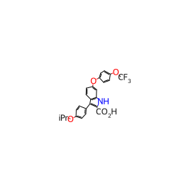 CC(C)Oc1ccc(-c2c(C(=O)O)[nH]c3cc(Oc4ccc(OC(F)(F)F)cc4)ccc23)cc1